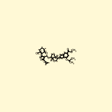 COC(=O)c1cc(OC(C)C)c2nc(C3CO[C@@H]4C(OCc5c(C6=C(Cl)CCC=C6Cl)noc5C5CC5)CO[C@H]34)sc2c1